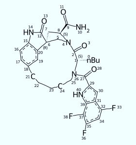 CCCC[C@H]1C(=O)N2C[C@]3(C[C@H]2C(N)=O)C(=O)Nc2ccc(cc23)CCCCCN1C(=O)c1cc2c(F)cc(F)c(F)c2[nH]1